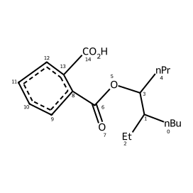 CCCCC(CC)C(CCC)OC(=O)c1ccccc1C(=O)O